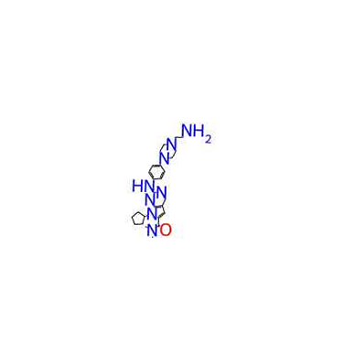 CN(C)C(=O)c1cc2cnc(Nc3ccc(N4CCN(CCN)CC4)cc3)nc2n1C1CCCC1